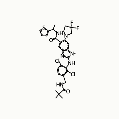 CC(NC(=O)c1cc2nc(Nc3c(Cl)ccc(CNC(=O)C(C)(C)C)c3Cl)n(C)c2cc1N1CCC(F)(F)C1)c1cccs1